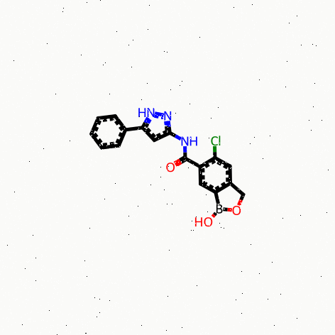 O=C(Nc1cc(-c2ccccc2)[nH]n1)c1cc2c(cc1Cl)COB2O